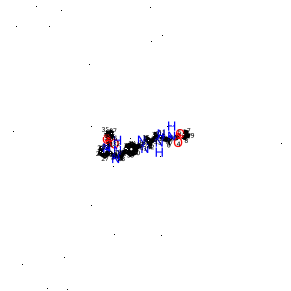 C[C@H](NC(=O)OC(C)(C)C)c1ncc(-c2cnc(-c3ccc(-c4cnc([C@@H]5CCCN5C(=O)OC(C)(C)C)[nH]4)cc3)nc2)[nH]1